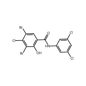 O=C(Nc1cc(Cl)cc(Cl)c1)c1cc(Br)c(Cl)c(Br)c1O